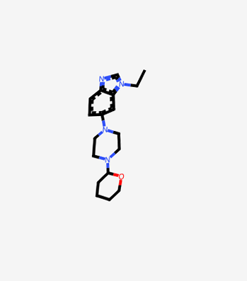 CCn1cnc2ccc(N3CCN(C4CCCCO4)CC3)cc21